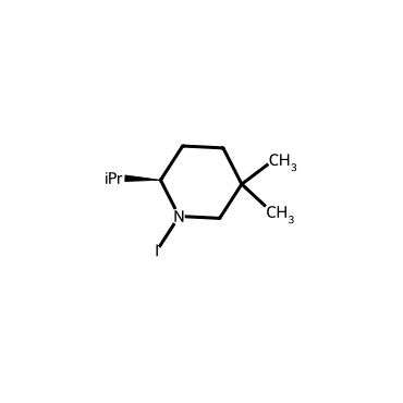 CC(C)[C@H]1CCC(C)(C)CN1I